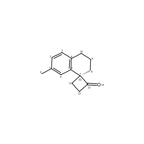 Cc1ccc2c(c1)[C@]1(CCC2)CCC1=O